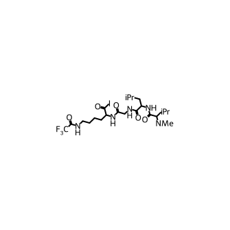 CNC(C(=O)NC(CC(C)C)C(=O)NCC(=O)NC(CCCCNC(=O)C(F)(F)F)C(=O)I)C(C)C